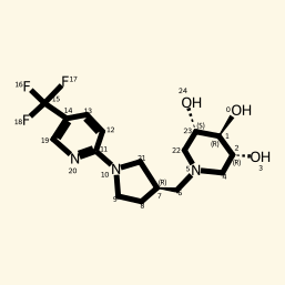 O[C@H]1[C@H](O)CN(C[C@H]2CCN(c3ccc(C(F)(F)F)cn3)C2)C[C@@H]1O